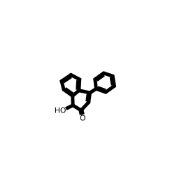 O=C1C=C(c2ccccc2)c2ccccc2C1O